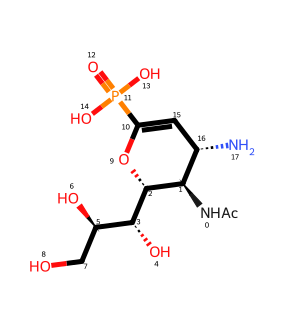 CC(=O)N[C@H]1[C@H]([C@H](O)[C@H](O)CO)OC(P(=O)(O)O)=C[C@@H]1N